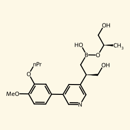 CCCOc1cc(-c2cncc([C@H](CO)CB(O)O[C@H](C)CO)c2)ccc1OC